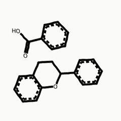 O=C(O)c1ccccc1.c1ccc(C2CCc3ccccc3O2)cc1